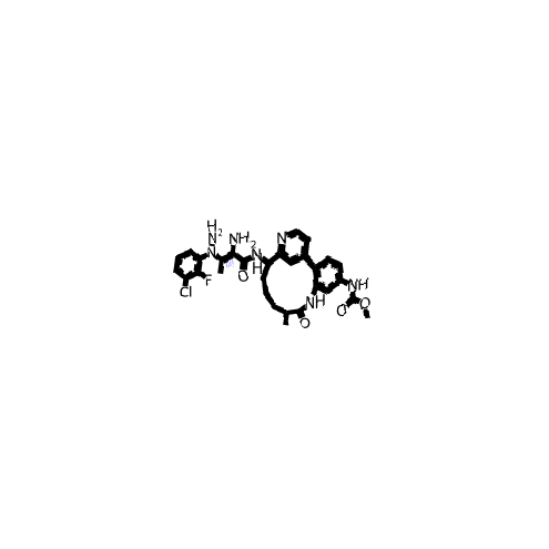 COC(=O)Nc1ccc2c(c1)NC(=O)C(C)CCCC(NC(=O)/C(N)=C(\C)N(N)c1cccc(Cl)c1F)c1cc-2ccn1